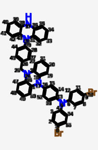 Brc1ccc(N(c2ccc(Br)cc2)c2ccc(N3c4ccccc4N(Cc4ccc(N5c6ccccc6Nc6ccccc65)cc4)c4ccccc43)cc2)cc1